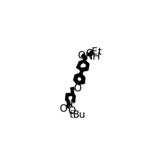 CCONC(=O)C1CC=C(c2ccc(OCC3CCN(C(=O)OC(C)(C)C)CC3)cc2)CC1